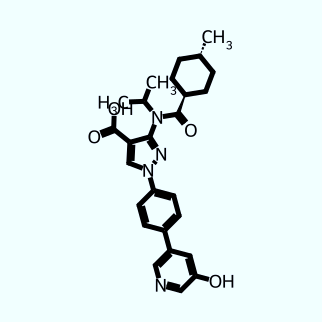 CC(C)N(c1nn(-c2ccc(-c3cncc(O)c3)cc2)cc1C(=O)O)C(=O)[C@H]1CC[C@H](C)CC1